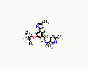 Cc1cnc(-c2cc(OCC(C)(C)O)cc(C(=O)N[C@H](C)c3cnc(C(F)(F)F)nc3)c2F)s1